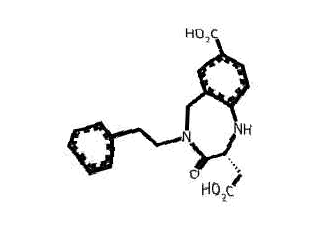 O=C(O)C[C@H]1Nc2ccc(C(=O)O)cc2CN(CCc2ccccc2)C1=O